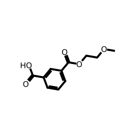 COCCOC(=O)c1cccc(C(=O)O)c1